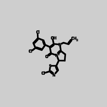 C=CCn1c(O)c(-c2cc(Cl)cc(Cl)c2)c(=O)[n+]2c1CCC2c1cnc(Cl)s1